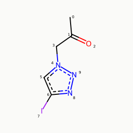 CC(=O)Cn1cc(I)nn1